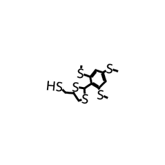 CSc1cc(SC)c(C2SCC(CS)S2)c(SC)c1